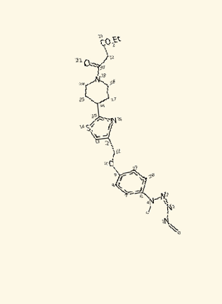 C=N/N=N\N(C)c1ccc(OCc2csc(C3CCN(C(=O)CC(=O)OCC)CC3)n2)cc1